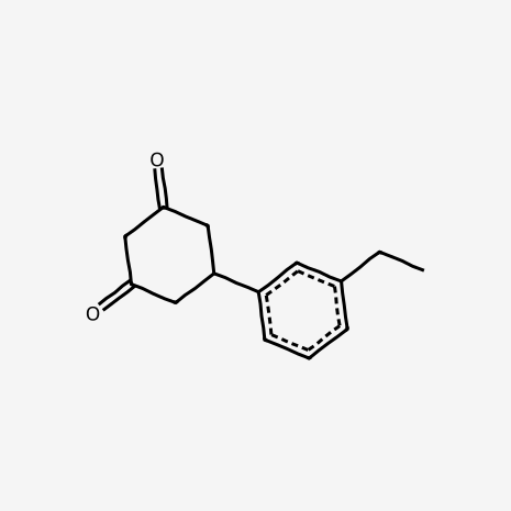 CCc1cccc(C2CC(=O)CC(=O)C2)c1